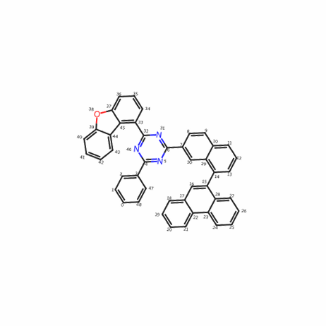 c1ccc(-c2nc(-c3ccc4cccc(-c5cc6ccccc6c6ccccc56)c4c3)nc(-c3cccc4oc5ccccc5c34)n2)cc1